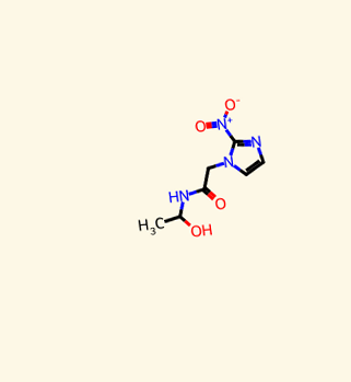 CC(O)NC(=O)Cn1ccnc1[N+](=O)[O-]